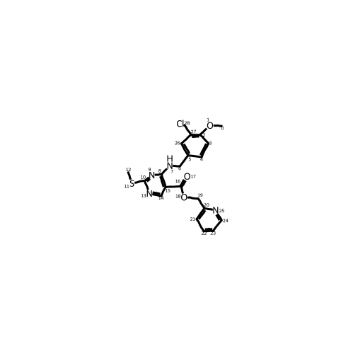 COc1ccc(CNc2nc(SC)ncc2C(=O)OCc2ccccn2)cc1Cl